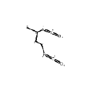 CC(CCN=C=O)N=C=O